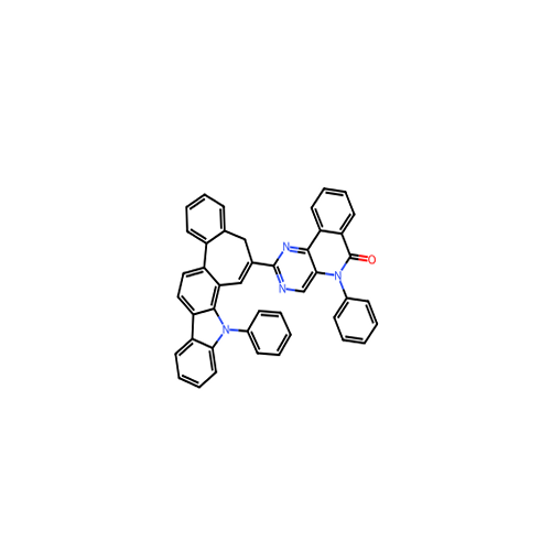 O=c1c2ccccc2c2nc(C3=Cc4c(ccc5c6ccccc6n(-c6ccccc6)c45)-c4ccccc4C3)ncc2n1-c1ccccc1